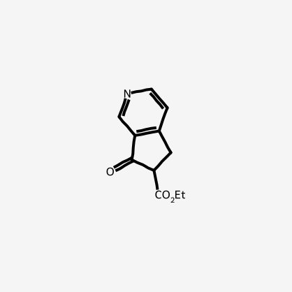 CCOC(=O)C1Cc2ccncc2C1=O